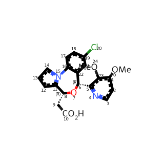 COc1ccnc([C@@H]2O[C@H](CC(=O)O)c3cccn3-c3ccc(Cl)cc32)c1OC